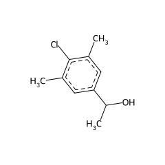 Cc1cc(C(C)O)cc(C)c1Cl